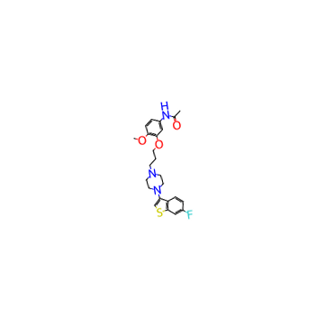 COc1ccc(NC(C)=O)cc1OCCCN1CCN(c2csc3cc(F)ccc23)CC1